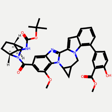 COC(=O)c1cc(-c2cccc3cc(-c4nc5cc(C(=O)N6C[C@H]7CC[C@@H]6[C@@H]7NC(=O)OC(C)(C)C)cc(OC)c5n4C)n(CC4CC4)c23)ccc1O